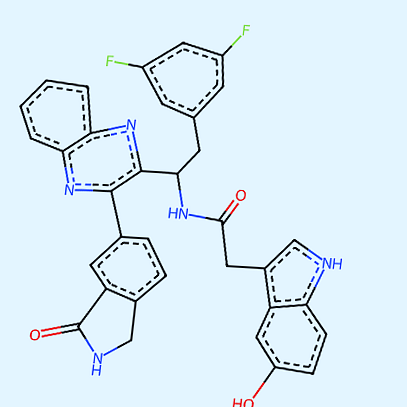 O=C(Cc1c[nH]c2ccc(O)cc12)NC(Cc1cc(F)cc(F)c1)c1nc2ccccc2nc1-c1ccc2c(c1)C(=O)NC2